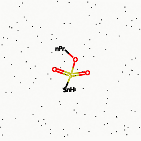 CCCO[S](=O)(=O)[SnH]